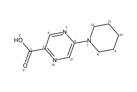 O=C(O)c1cnc(N2CCCCC2)cn1